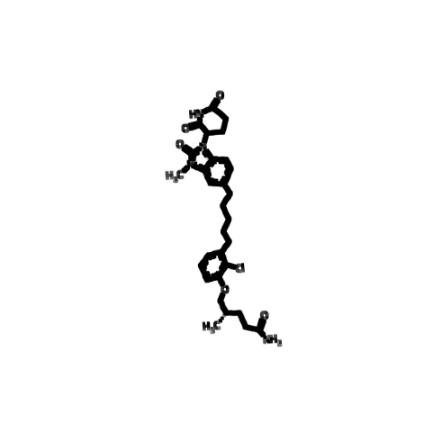 C[C@@H](CCC(N)=O)COc1cccc(CCCCCc2ccc3c(c2)n(C)c(=O)n3C2CCC(=O)NC2=O)c1Cl